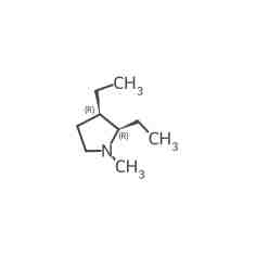 CC[C@@H]1CCN(C)[C@@H]1CC